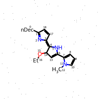 CCCCCCCCCCC1=NC(=C2NC(c3cccn3C)=CC2OCC)C=C1